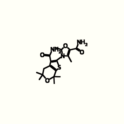 CC1=C(C(N)=O)OC(C)N1c1sc2c(c1C(N)=O)CC(C)(C)OC2(C)C